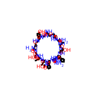 CCCC[C@H]1C(=O)N(C)[C@@H](CCCC)C(=O)N[C@@H](CC(=O)O)C(=O)N[C@H](C(N)=O)CSCC(=O)N[C@@H](Cc2ccc(O)cc2)C(=O)N(C)[C@@H](C)C(=O)N[C@@H](CC(N)=O)C(=O)N2CCC[C@H]2C(=O)N[C@@H](CN)C(=O)N[C@@H](CC(C)C)C(=O)N2C[C@H](O)C[C@H]2C(=O)N[C@@H](Cc2c[nH]c3ccccc23)C(=O)N[C@@H](CCN)C(=O)N[C@@H](Cc2cn(CC(=O)O)c3ccccc23)C(=O)N1C